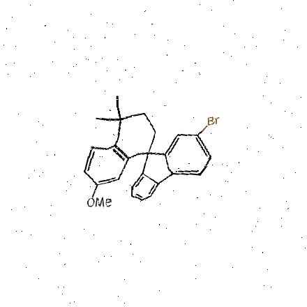 COc1ccc2c(c1)C1(CCC2(C)C)c2ccccc2-c2ccc(Br)cc21